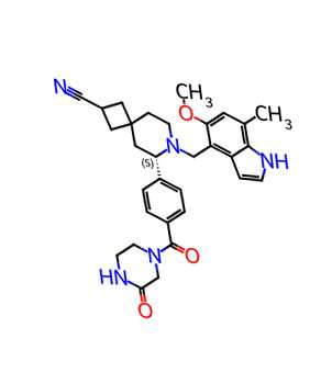 COc1cc(C)c2[nH]ccc2c1CN1CCC2(CC(C#N)C2)C[C@H]1c1ccc(C(=O)N2CCNC(=O)C2)cc1